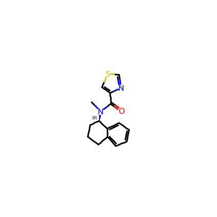 CN(C(=O)c1cscn1)[C@@H]1CCCc2ccccc21